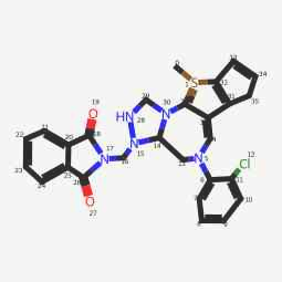 CS1=C2C(=CN(c3ccccc3Cl)CC3N(CN4C(=O)c5ccccc5C4=O)NCN23)C2=C1C=CC2